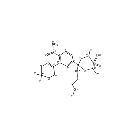 COCCNC1(c2ccc(C(N)=O)c(C3=CCC(C)(C)CC3)c2)CC(C)S(=O)(=O)C(C)C1